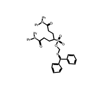 CC(C)N(C(=O)CCC(CCC(=O)N(C(C)C)C(C)C)S(=O)(=O)OCN=C(c1ccccc1)c1ccccc1)C(C)C